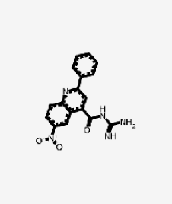 N=C(N)NC(=O)c1cc(-c2ccccc2)nc2ccc([N+](=O)[O-])cc12